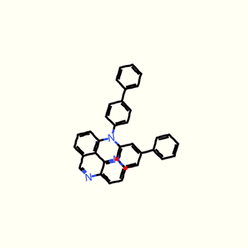 c1ccc(-c2ccc(N(c3cccc(-c4ccccc4)c3)c3cccc4cnc5cccnc5c34)cc2)cc1